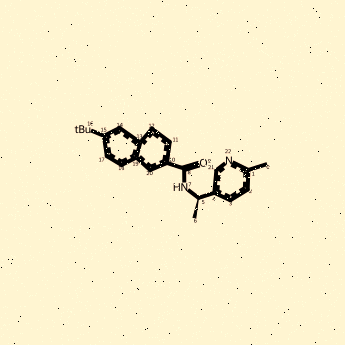 Cc1ccc([C@@H](C)NC(=O)c2ccc3cc(C(C)(C)C)ccc3c2)cn1